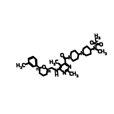 Cc1cccc([C@@H]2CCC[C@H](CNc3nc(C)nc(C(=O)N4CCC(N5CCC(N(C)S(C)(=O)=O)CC5)CC4)c3C)O2)c1